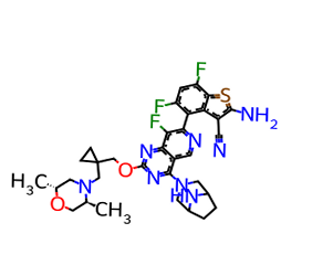 C[C@@H]1CN(CC2(COc3nc(N4CC5CCC(C4)N5)c4cnc(-c5c(F)cc(F)c6sc(N)c(C#N)c56)c(F)c4n3)CC2)[C@@H](C)CO1